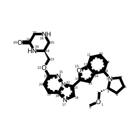 COC[C@H]1CCCN1c1cccc2oc(-c3cnc4ccc(OC[C@@H]5CNCC(=O)N5)nn34)cc12